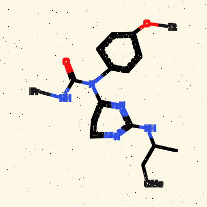 CCOc1ccc(N(C(=O)NC(C)C)c2ccnc(NC(C)COC)n2)cc1